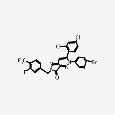 O=c1c2nn(-c3ccc(Br)cc3)c(-c3ccc(Cl)cc3Cl)cc-2nn1Cc1ccc(C(F)(F)F)c(F)c1